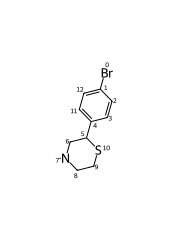 Brc1ccc(C2C[N]CCS2)cc1